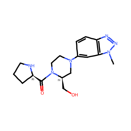 Cn1nnc2ccc(N3CCN(C(=O)[C@H]4CCCN4)[C@H](CO)C3)cc21